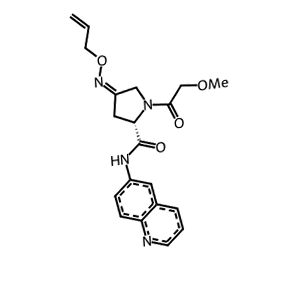 C=CCON=C1C[C@@H](C(=O)Nc2ccc3ncccc3c2)N(C(=O)COC)C1